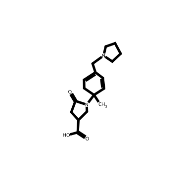 CC1(N2CC(C(=O)O)CC2=O)C=CC(CN2CCCC2)=CC1